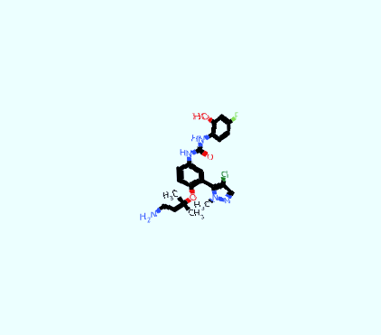 Cn1ncc(Cl)c1-c1cc(NC(=O)Nc2ccc(F)cc2O)ccc1OC(C)(C)CCN